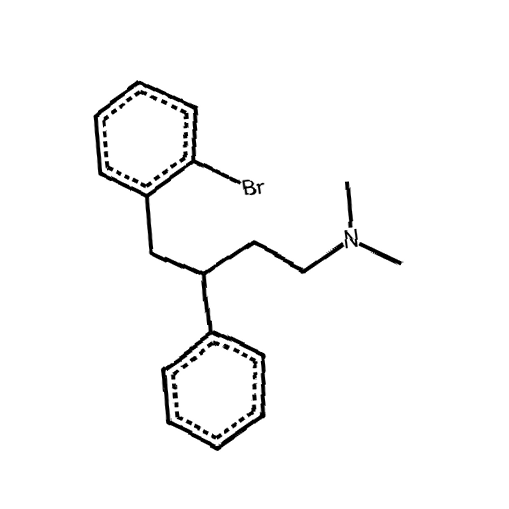 CN(C)CCC(Cc1ccccc1Br)c1ccccc1